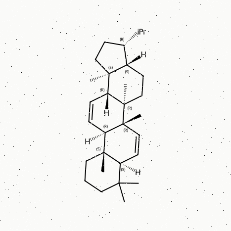 CC(C)[C@H]1CC[C@]2(C)[C@H]3C=C[C@@H]4[C@@]5(C)CCCC(C)(C)[C@@H]5C=C[C@@]4(C)[C@]3(C)CC[C@@H]12